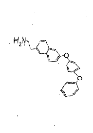 NCCc1ccc2cc(Oc3ccc(Oc4ccccc4)cc3)ccc2c1